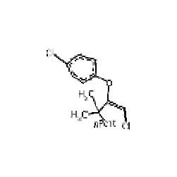 CCCCCC(C)(C)C(=CCl)Oc1ccc(Cl)cc1